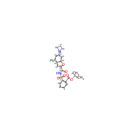 CC(C)OC(=O)c1ccccc1S(=O)(=O)NC(=O)c1cc2c(F)cc(N3CCC3)cc2o1